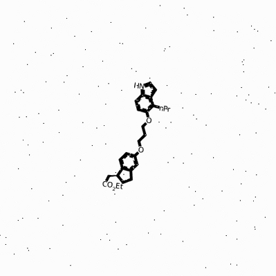 CCCc1c(OCCCOc2ccc3c(c2)CC[C@H]3CC(=O)OCC)ccc2[nH]ccc12